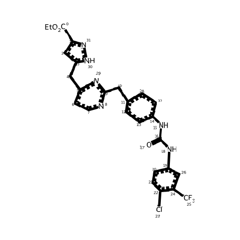 CCOC(=O)c1cc(Cc2ccnc(Cc3ccc(NC(=O)Nc4ccc(Cl)c(C(F)(F)F)c4)cc3)n2)[nH]n1